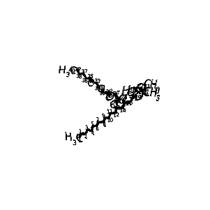 CCCCCCCCCCCCCCCC(CC(=O)OC(C)(C)C)OC(=O)COCCOCCOCCCCCC